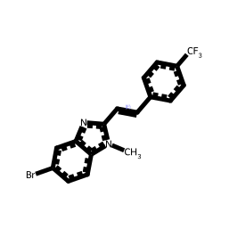 Cn1c(/C=C/c2ccc(C(F)(F)F)cc2)nc2cc(Br)ccc21